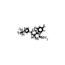 [2H]C([2H])([2H])n1cc([C@H]2C[C@H]3CSC(N)=N[C@@]3(c3ccc(F)cc3F)CO2)cn1